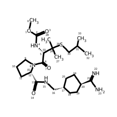 COC(=O)N[C@@H](C(=O)N1CCC[C@H]1C(=O)NC[C@H]1CC[C@H](C(=N)N)CC1)C(C)(C)SCC(C)C